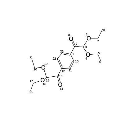 CCOC(OCC)C(=O)c1ccc(C(=O)C(OCC)OCC)cc1